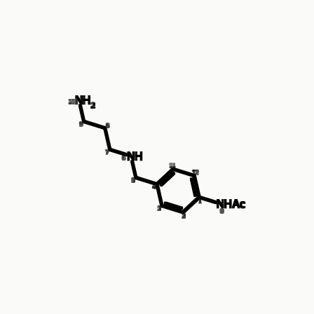 CC(=O)Nc1ccc(CNCCCN)cc1